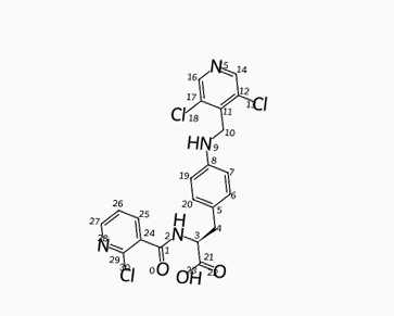 O=C(N[C@@H](Cc1ccc(NCc2c(Cl)cncc2Cl)cc1)C(=O)O)c1cccnc1Cl